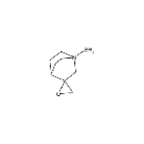 B[N+]12CCC(CC1)C1(CO1)C2